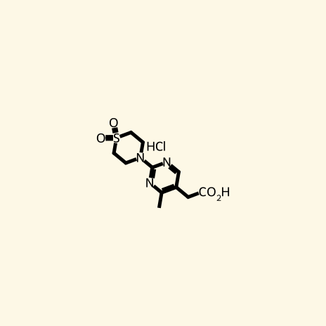 Cc1nc(N2CCS(=O)(=O)CC2)ncc1CC(=O)O.Cl